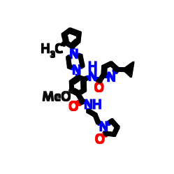 COc1cc(N2CCN(c3ccccc3C)CC2)c(NC(=O)C2=CCC(C3CC3)=N2)cc1C(=O)NCCCN1CCCC1=O